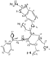 C=C/C(Oc1ccc2nc(N)sc2c1)=C1/C=C(CC)C(CC)=C/C1=N\CC(=O)c1ccccc1